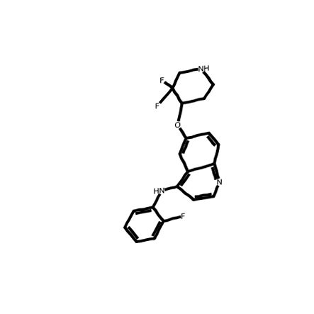 Fc1ccccc1Nc1ccnc2ccc(OC3CCNCC3(F)F)cc12